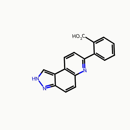 O=C(O)c1ccccc1-c1ccc2c(ccc3n[nH]cc32)n1